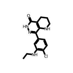 CCNc1cc(-c2n[nH]c(=O)c3c2NCCC3)ccc1Cl